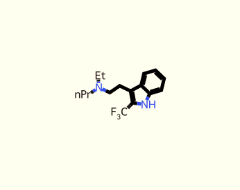 CCCN(CC)CCc1c(C(F)(F)F)[nH]c2ccccc12